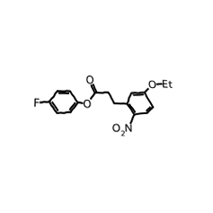 CCOc1ccc([N+](=O)[O-])c(CCC(=O)Oc2ccc(F)cc2)c1